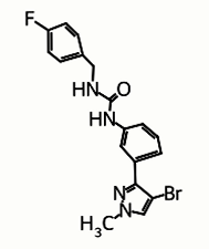 Cn1cc(Br)c(-c2cccc(NC(=O)NCc3ccc(F)cc3)c2)n1